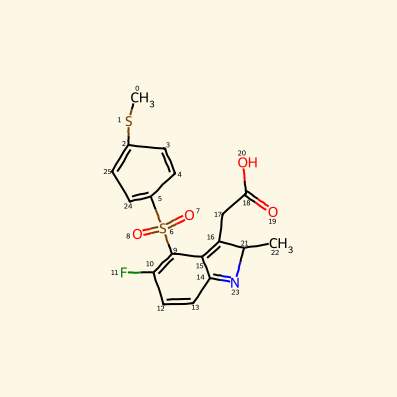 CSc1ccc(S(=O)(=O)c2c(F)ccc3c2=C(CC(=O)O)C(C)N=3)cc1